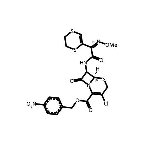 CO/N=C(\C(=O)NC1C(=O)N2C(C(=O)OCc3ccc([N+](=O)[O-])cc3)=C(Cl)CS[C@H]12)C1=CSCCS1